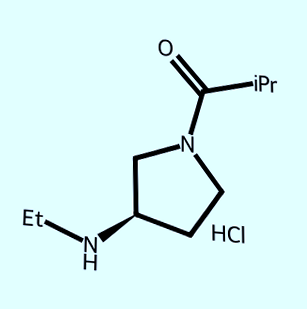 CCN[C@@H]1CCN(C(=O)C(C)C)C1.Cl